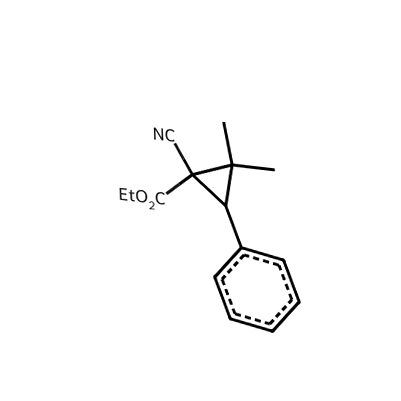 CCOC(=O)C1(C#N)C(c2ccccc2)C1(C)C